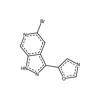 Brc1cc2c(-c3cnco3)n[nH]c2cn1